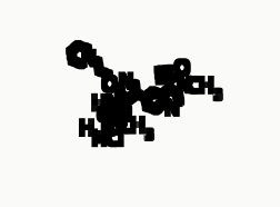 CN1C(=O)C2(CCC2)c2c1cnc1ccc(-c3cnc(OCCCN4CCCCC4)c(NS(=O)(=O)N(C)C)c3)cc21.Cl